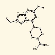 CCc1nc(N2CCN(C(=O)O)CC2)c2cc(CC)sc2n1